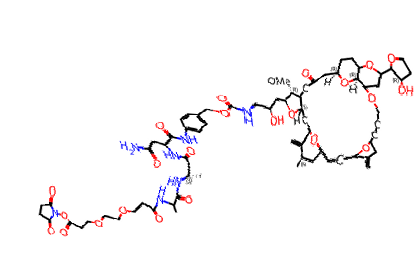 C=C1CC2CCCOC3CC(C4OCC[C@H]4O)OC4CC[C@H](CC(=O)CC5[C@@H](OC)C(CC(O)CNC(=O)OCc6ccc(NC(=O)C(CC(N)=O)NC(=O)[C@H](C)NC(=O)C(C)NC(=O)CCOCCOCCC(=O)ON7C(=O)CCC7=O)cc6)O[C@H]5CC5OC(CCC1O2)C[C@@H](C)C5=C)O[C@H]34